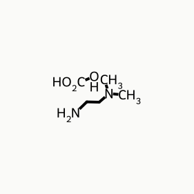 CN(C)CCN.O=C(O)O